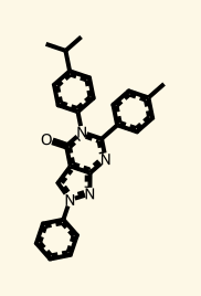 Cc1ccc(-c2nc3nn(-c4ccccc4)cc3c(=O)n2-c2ccc(C(C)C)cc2)cc1